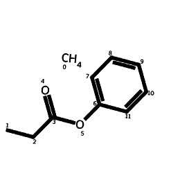 C.CCC(=O)Oc1ccccc1